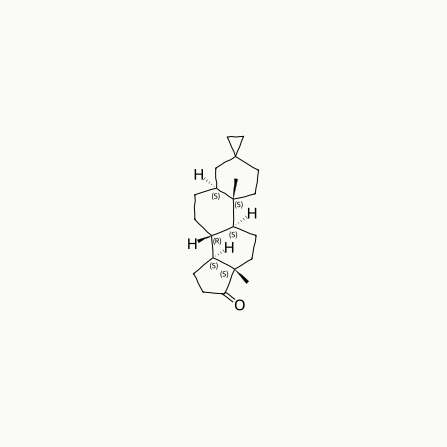 C[C@]12CCC3(CC3)C[C@@H]1CC[C@@H]1[C@@H]2CC[C@]2(C)C(=O)CC[C@@H]12